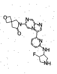 O=C1CC2(COC2)CN1c1cn2c(-c3cccc(NC4CNCC4F)n3)cnc2cn1